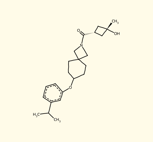 CC(C)c1cccc(OC2CCC3(CC2)CN(C(=O)[C@H]2C[C@@](C)(O)C2)C3)c1